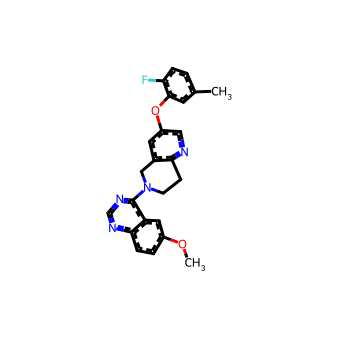 COc1ccc2ncnc(N3CCc4ncc(Oc5cc(C)ccc5F)cc4C3)c2c1